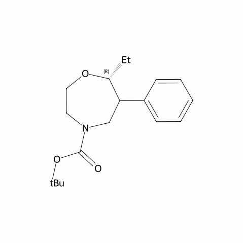 CC[C@H]1OCCN(C(=O)OC(C)(C)C)CC1c1ccccc1